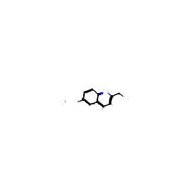 COc1ccc2nc(CC(C)(C)C)ccc2c1